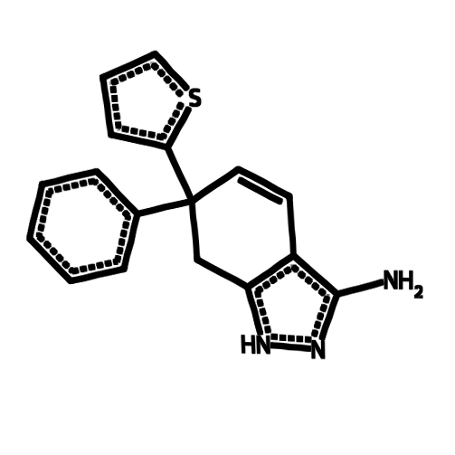 Nc1n[nH]c2c1C=CC(c1ccccc1)(c1cccs1)C2